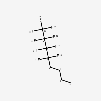 [CH2]CCCC(F)(F)C(F)(F)C(F)(F)C(F)(F)F